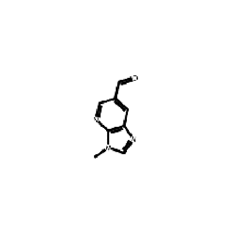 Cn1cnc2cc(C=O)cnc21